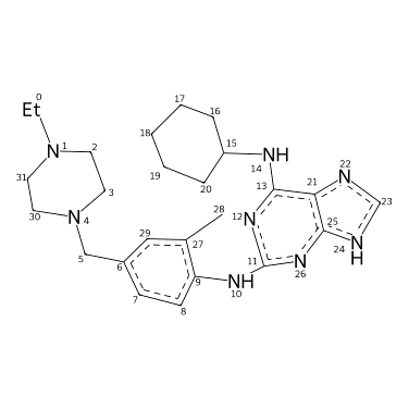 CCN1CCN(Cc2ccc(Nc3nc(NC4CCCCC4)c4nc[nH]c4n3)c(C)c2)CC1